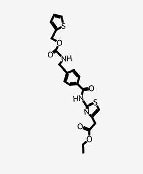 CCOC(=O)Cc1csc(NC(=O)c2ccc(CNC(=O)OCc3cccs3)cc2)n1